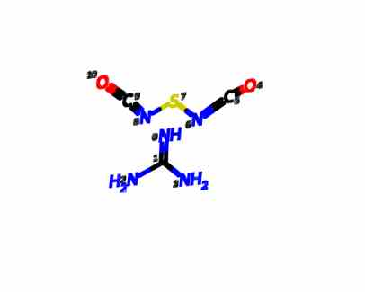 N=C(N)N.O=C=NSN=C=O